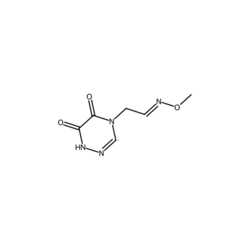 CON=CCn1[c]n[nH]c(=O)c1=O